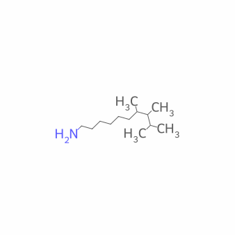 CC(C)C(C)C(C)CCCCCCN